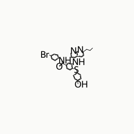 CCCc1ccc2c(Nc3cc(C(=O)Nc4ccc(Br)cc4)ccc3Sc3ccc(O)cc3)ccnc2n1